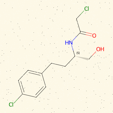 O=C(CCl)N[C@H](CO)CCc1ccc(Cl)cc1